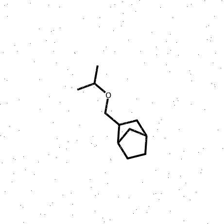 CC(C)OCC1CC2CCC1C2